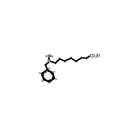 CCOC(=O)CCCCCCCN(Cc1ccccc1)C(C)(C)C